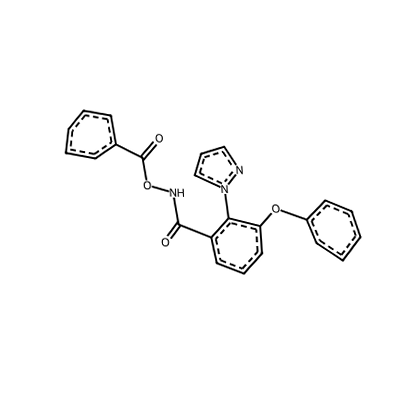 O=C(ONC(=O)c1cccc(Oc2ccccc2)c1-n1cccn1)c1ccccc1